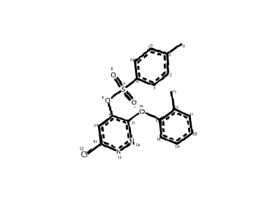 Cc1ccc(S(=O)(=O)Oc2cc(Cl)nnc2Oc2ccccc2C)cc1